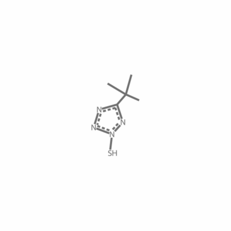 CC(C)(C)c1nnn(S)n1